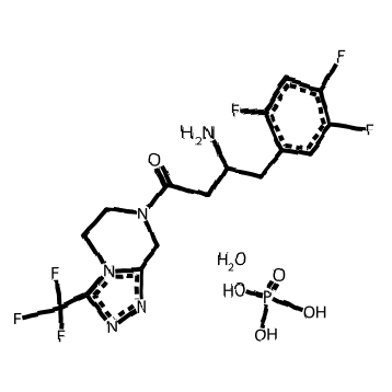 NC(CC(=O)N1CCn2c(nnc2C(F)(F)F)C1)Cc1cc(F)c(F)cc1F.O.O=P(O)(O)O